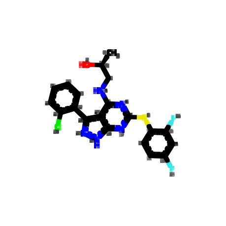 C[C@H](O)CNc1nc(Sc2ccc(F)cc2F)nc2[nH]nc(-c3ccccc3Cl)c12